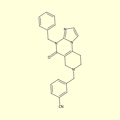 N#Cc1cccc(CN2CCc3c(c(=O)n(Cc4ccccc4)c4nccn34)C2)c1